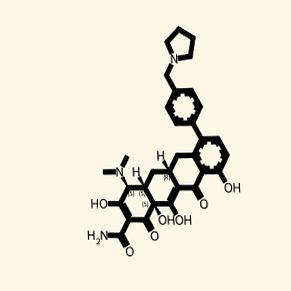 CN(C)[C@@H]1C(O)=C(C(N)=O)C(=O)[C@@]2(O)C(O)=C3C(=O)c4c(O)ccc(-c5ccc(CN6CCCC6)cc5)c4C[C@H]3C[C@@H]12